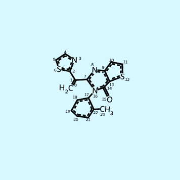 C=C(c1nccs1)c1nc2ccsc2c(=O)n1-c1ccccc1C